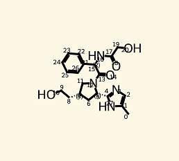 Cc1cnc([C@@H]2C[C@H](CCO)CN2C(=O)[C@H](NC(=O)CO)c2ccccc2)[nH]1